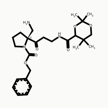 CC1(C)OCC(C)(C)C(C(=O)NCCC(=O)[C@@]2(CN)CCCN2C(=O)OCc2ccccc2)O1